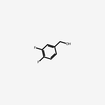 OCc1c[c]c(F)c(F)c1